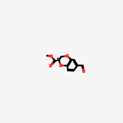 COC(=O)[C@H]1COc2cc(C=O)ccc2O1